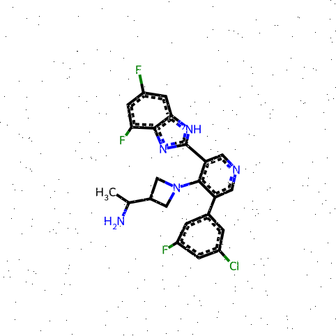 CC(N)C1CN(c2c(-c3cc(F)cc(Cl)c3)cncc2-c2nc3c(F)cc(F)cc3[nH]2)C1